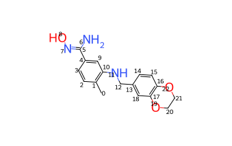 Cc1ccc(C(N)=NO)cc1NCc1ccc2c(c1)OCCO2